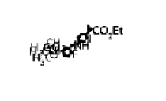 CCOC(=O)[C@H]1C[C@@H]1c1ccc(NCc2cc(B3OC(C)(C)C(C)(C)O3)ccc2F)cn1